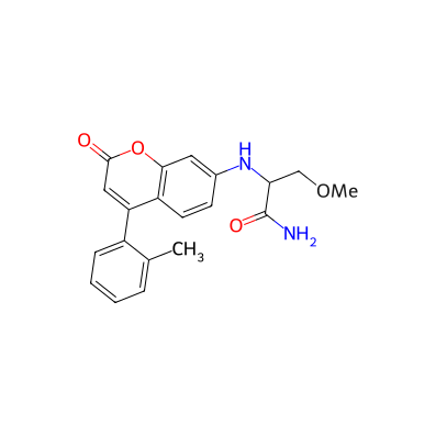 COCC(Nc1ccc2c(-c3ccccc3C)cc(=O)oc2c1)C(N)=O